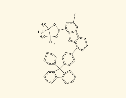 CC1(C)OB(c2cc(F)cc3c2oc2c(-c4ccc(C5(c6ccccc6)c6ccccc6-c6ccccc65)cc4)cccc23)OC1(C)C